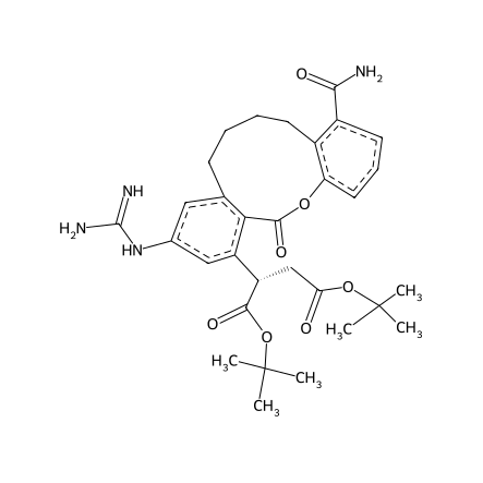 CC(C)(C)OC(=O)C[C@H](C(=O)OC(C)(C)C)c1cc(NC(=N)N)cc2c1C(=O)Oc1cccc(C(N)=O)c1CCCC2